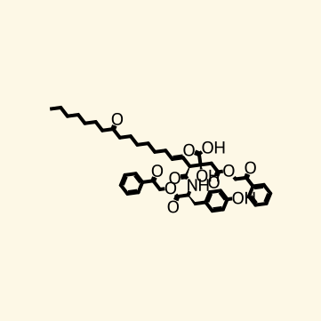 CCCCCCCC(=O)CCCCCC/C=C/[C@H](C(=O)N[C@@H](Cc1ccc(O)cc1)C(=O)OCC(=O)c1ccccc1)[C@@](O)(CC(=O)OCC(=O)c1ccccc1)C(=O)O